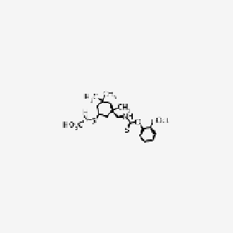 CCCCCCCCc1ccccc1OC(=S)NCC1(C)CC(SNC(=O)O)CC(C)(C)C1